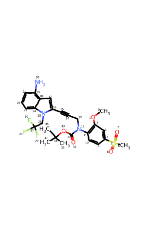 COc1cc(S(C)(=O)=O)ccc1N(CC#Cc1cc2c(N)cccc2n1CC(F)(F)F)C(=O)OC(C)(C)C